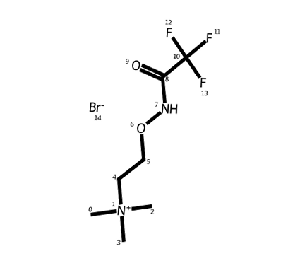 C[N+](C)(C)CCONC(=O)C(F)(F)F.[Br-]